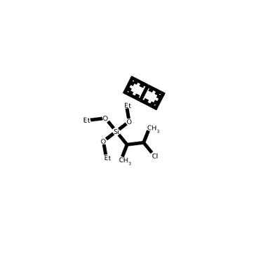 CCO[Si](OCC)(OCC)C(C)C(C)Cl.c1cc2ccc1-2